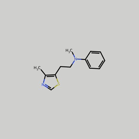 Cc1ncsc1CCN(C)c1ccccc1